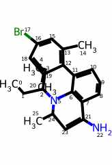 CCC(CC)N1c2c(cccc2-c2c(C)cc(Br)cc2C)C(N)=CC1C